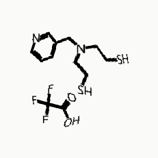 O=C(O)C(F)(F)F.SCCN(CCS)Cc1cccnc1